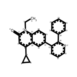 CCn1c(=O)cc(C2CC2)c2cc(-c3cccnc3-c3ccccc3)ccc21